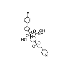 Cl.O=C(NO)[C@H]1CN(S(=O)(=O)CCc2ccncc2)CCN1S(=O)(=O)c1ccc(-c2ccc(F)cc2)s1